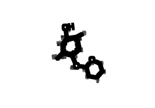 Cc1cc(OC2CCCCO2)c(C)cc1O